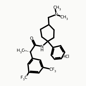 C[C@H](C(=O)NC1(c2ccccc2)CCC(CN(C)C)CC1)c1cc(C(F)(F)F)cc(C(F)(F)F)c1.Cl